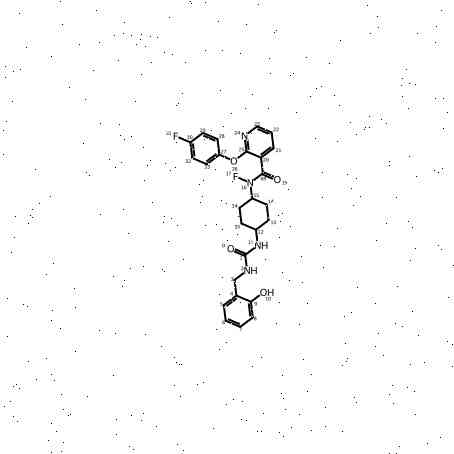 O=C(NCc1ccccc1O)NC1CCC(N(F)C(=O)c2cccnc2Oc2ccc(F)cc2)CC1